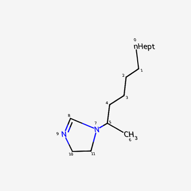 CCCCCCCCCCCC(C)N1C=NCC1